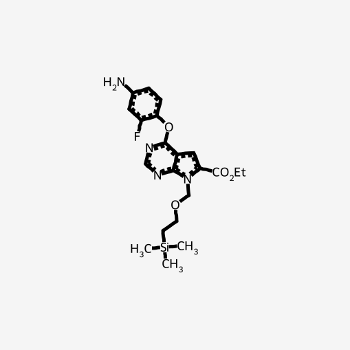 CCOC(=O)c1cc2c(Oc3ccc(N)cc3F)ncnc2n1COCC[Si](C)(C)C